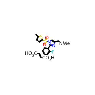 CNCc1cn(S(=O)(=O)c2ccc(C)s2)c(-c2ccccc2F)n1.O=C(O)/C=C/C(=O)O